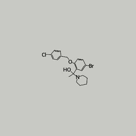 CC(O)(c1cc(Br)ccc1OCc1ccc(Cl)cc1)N1CCCCC1